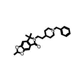 CC1Oc2cc3c(cc2O1)C(C)(C)N(CCC1CCN(Cc2ccccc2)CC1)C3=O